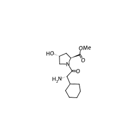 COC(=O)[C@@H]1C[C@@H](O)CN1C(=O)[C@@H](N)C1CCCCC1